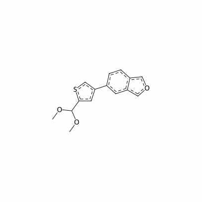 COC(OC)c1cc(-c2ccc3cocc3c2)cs1